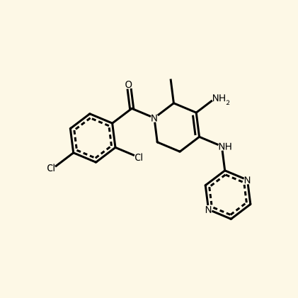 CC1C(N)=C(Nc2cnccn2)CCN1C(=O)c1ccc(Cl)cc1Cl